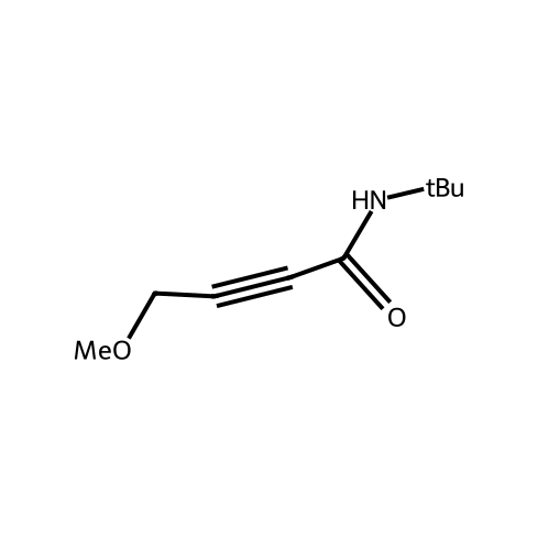 COCC#CC(=O)NC(C)(C)C